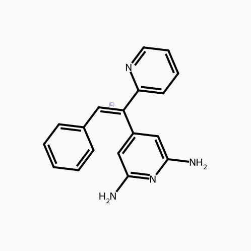 Nc1cc(/C(=C\c2ccccc2)c2ccccn2)cc(N)n1